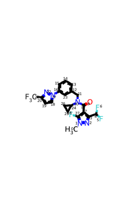 Cn1nc(C(F)F)c(C(=O)N(Cc2cccc(-n3ccc(C(F)(F)F)n3)c2)C2CC2)c1F